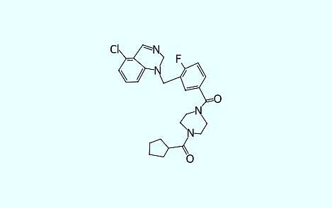 O=C(c1ccc(F)c(CN2CN=Cc3c(Cl)cccc32)c1)N1CCN(C(=O)C2CCCC2)CC1